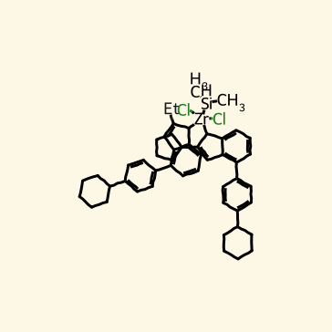 CCC1=Cc2c(-c3ccc(C4CCCCC4)cc3)cccc2[CH]1[Zr]([Cl])([Cl])([CH]1C(C2CCCC2)=Cc2c(-c3ccc(C4CCCCC4)cc3)cccc21)[SiH](C)C